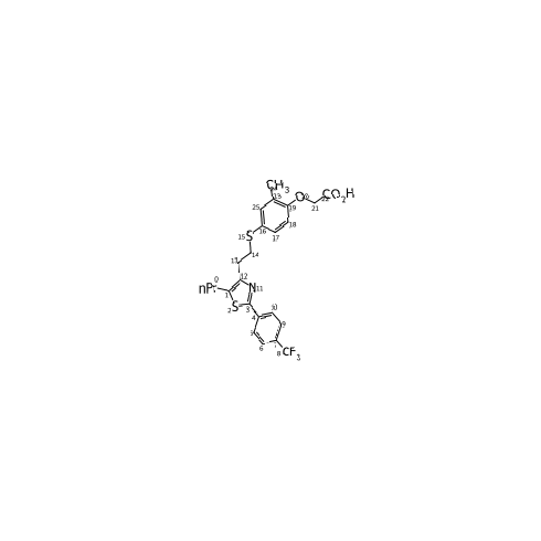 CCCc1sc(-c2ccc(C(F)(F)F)cc2)nc1CCSc1ccc(OCC(=O)O)c(C)c1